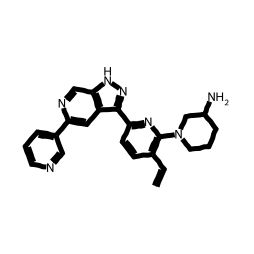 C=Cc1ccc(-c2n[nH]c3cnc(-c4cccnc4)cc23)nc1N1CCCC(N)C1